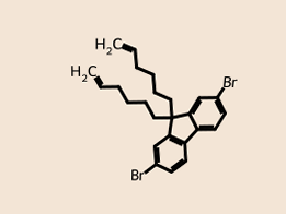 C=CCCCCC1(CCCCC=C)c2cc(Br)ccc2-c2ccc(Br)cc21